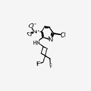 O=[N+]([O-])c1ccc(Cl)nc1NC1CC(CF)(CF)C1